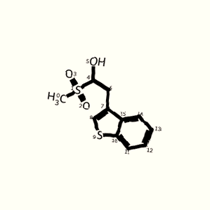 CS(=O)(=O)C(O)Cc1csc2ccccc12